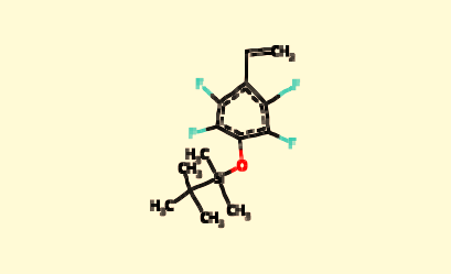 C=Cc1c(F)c(F)c(O[Si](C)(C)C(C)(C)C)c(F)c1F